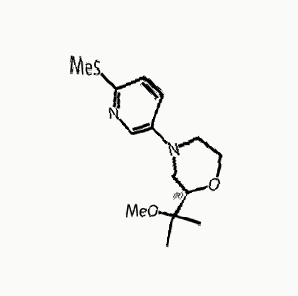 COC(C)(C)[C@H]1CN(c2ccc(SC)nc2)CCO1